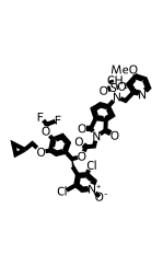 COc1ccnc(CN(c2ccc3c(c2)C(=O)N(CC(=O)O[C@@H](Cc2c(Cl)c[n+]([O-])cc2Cl)c2ccc(OC(F)F)c(OCC4CC4)c2)C3=O)S(C)(=O)=O)c1